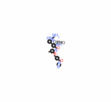 COc1c(-c2cccc3[nH]c(CN)nc23)ccc(C(=O)N(C)c2ccc(C)cc2OCc2ccc(C(=O)N3CCN(C)CC3)cc2)c1NC=O